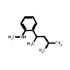 CNc1ccccc1C(C)CC(C)C